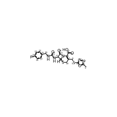 Cc1nnc(SCC2=C(C(=O)O)N3C(=O)C(NC(=O)NCc4ccc(F)cc4)[C@@H]3SC2)o1